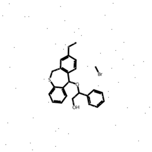 CBr.CCc1ccc2c(c1)CSc1ccccc1C2OC(CO)c1ccccc1